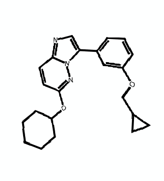 c1cc(OCC2CC2)cc(-c2cnc3ccc(OC4CCCCC4)nn23)c1